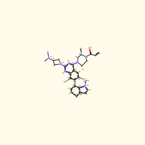 C=CC(=O)N1C[C@H](C)N(c2nc(N3CC(N(C)C)C3)nc3c(F)c(-c4cccc5ccn(C)c45)c(Cl)cc23)C[C@H]1C